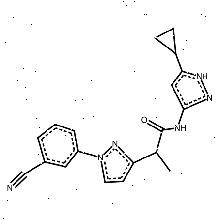 CC(C(=O)Nc1cc(C2CC2)[nH]n1)c1ccn(-c2cccc(C#N)c2)n1